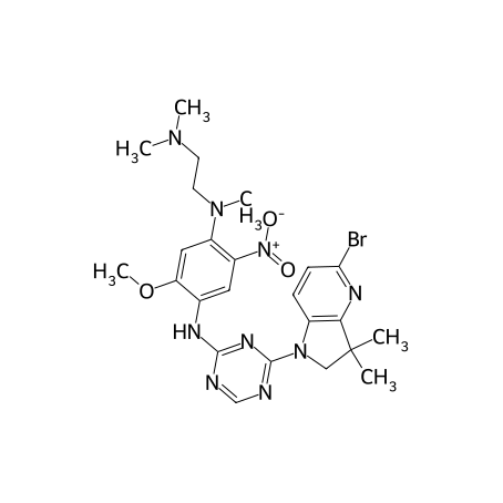 COc1cc(N(C)CCN(C)C)c([N+](=O)[O-])cc1Nc1ncnc(N2CC(C)(C)c3nc(Br)ccc32)n1